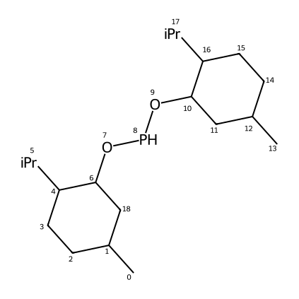 CC1CCC(C(C)C)C(OPOC2CC(C)CCC2C(C)C)C1